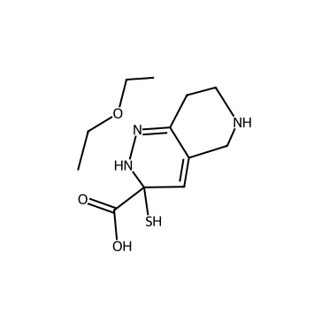 CCOCC.O=C(O)C1(S)C=C2CNCCC2=NN1